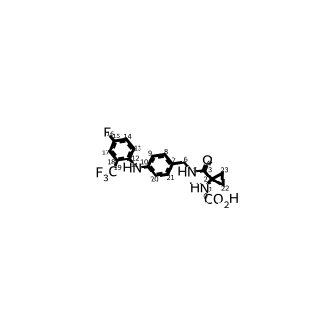 O=C(O)NC1(C(=O)NCc2ccc(Nc3ccc(F)cc3C(F)(F)F)cc2)CC1